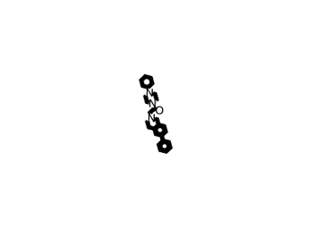 O=C(CN1CCc2cc(-c3ccccc3)ccc2C1)N1CCN(C2CCCCC2)CC1